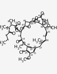 CCCC(=O)N(C)[C@@H](C)C(=O)OC1CC(=O)N(C)c2cc(cc(OC)c2Cl)C/C(C)=C/C=C/C(OC)C2(O)CC(OC(=O)N2)C2(C)CC1(C)O2